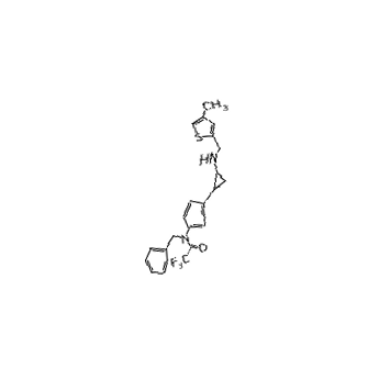 Cc1csc(CNC2CC2c2ccc(N(Cc3ccccc3)C(=O)C(F)(F)F)cc2)c1